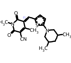 CC1=C(C#N)C(=O)N(C)C(=O)/C1=C/c1ccc(N2CC(C)CC(C)C2)s1